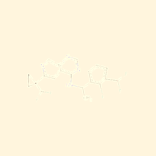 CC(Nc1ncnc2cnc(C3(C(F)F)CC3)cc12)c1cccc(C(F)F)c1F